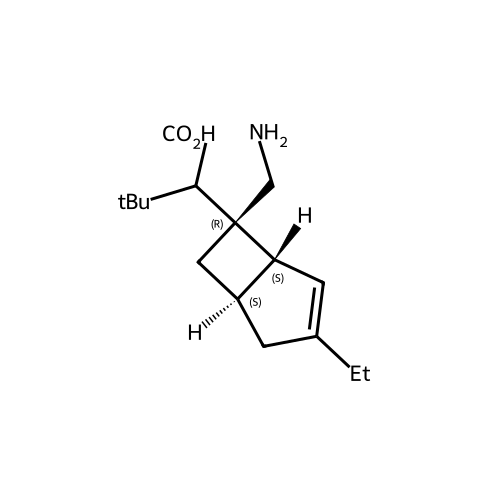 CCC1=C[C@@H]2[C@@H](C1)C[C@]2(CN)C(C(=O)O)C(C)(C)C